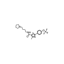 Cc1nc(-c2ccc(OC(F)(F)F)cc2)sc1C(=O)NCCCCN1CCCC1